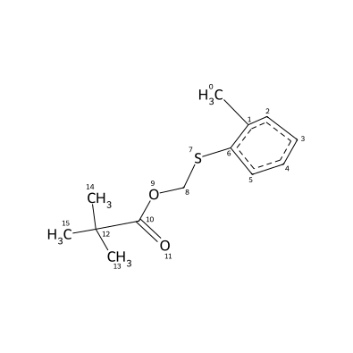 Cc1ccccc1SCOC(=O)C(C)(C)C